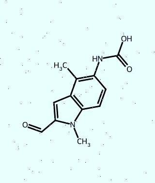 Cc1c(NC(=O)O)ccc2c1cc(C=O)n2C